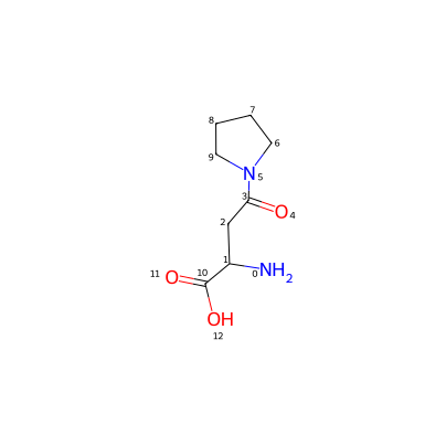 NC(CC(=O)N1CCCC1)C(=O)O